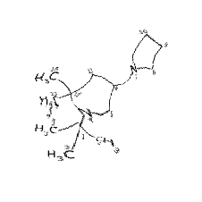 CC(C)(C)N1CC(N2CCC2)CC1(C)C